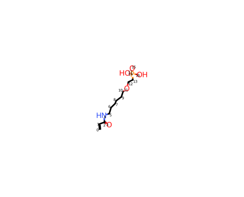 C=CC(=O)NCCCCCCOCCP(=O)(O)O